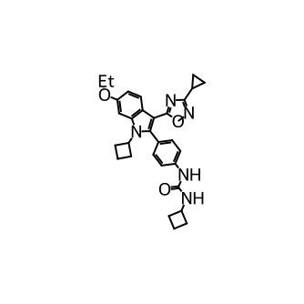 CCOc1ccc2c(-c3nc(C4CC4)no3)c(-c3ccc(NC(=O)NC4CCC4)cc3)n(C3CCC3)c2c1